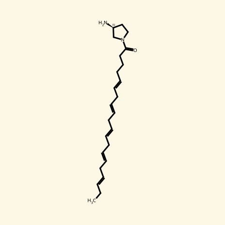 CCC=CCC=CCC=CCC=CCC=CCCCC(=O)N1CC[C@H](N)C1